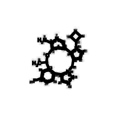 CC1Oc2cc(cnc2N)-c2c(cnn2C2CCC2)Cn2nncc2-c2ccc(F)cc21